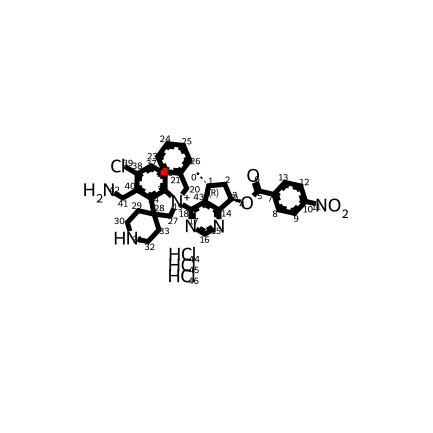 C[C@@H]1C[C@@H](OC(=O)c2ccc([N+](=O)[O-])cc2)c2ncnc([N+]3(Cc4ccccc4)CC4(CCNCC4)c4c3ccc(Cl)c4CN)c21.Cl.Cl.Cl